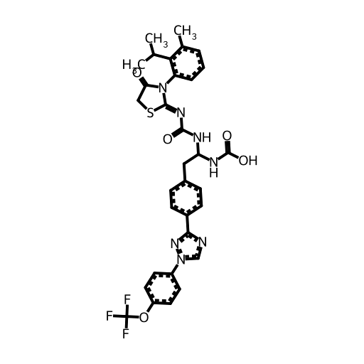 Cc1cccc(N2C(=O)CS/C2=N\C(=O)NC(Cc2ccc(-c3ncn(-c4ccc(OC(F)(F)F)cc4)n3)cc2)NC(=O)O)c1C(C)C